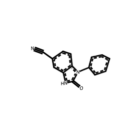 N#Cc1ccc2c(c1)[nH]c(=O)n2-c1ccccc1